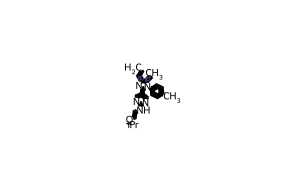 C=C/C=c1/nc(-c2cnc(NCCOC(C)C)nc2)n(-c2ccc(C)cc2)/c1=C/C